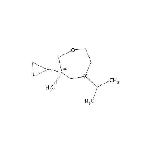 CC(C)N1CCOC[C@](C)(C2CC2)C1